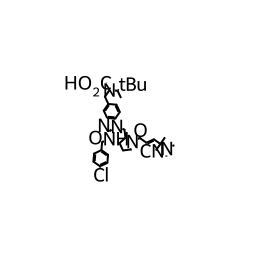 C[C@H](N(Cc1ccc2c(c1)nc(NC(=O)c1ccc(Cl)cc1)n2CC1CCCN1C(=O)/C(C#N)=C/C(C)(C)N(C)C)C(=O)O)C(C)(C)C